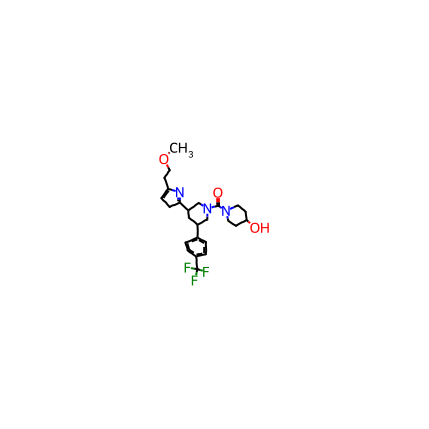 COCCC1=CCC(C2CC(c3ccc(C(F)(F)F)cc3)CN(C(=O)N3CCC(O)CC3)C2)=N1